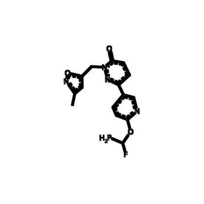 Cc1cc(Cn2nc(-c3ccc(OC(F)P)nc3)ccc2=O)on1